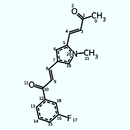 CC(=O)/C=C/c1cc(/C=C/C(=O)c2cccc(F)c2)cn1C